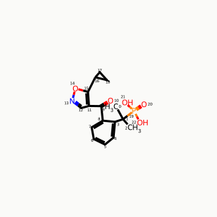 CC(C)(c1ccccc1C(=O)c1cnoc1C1CC1)P(=O)(O)O